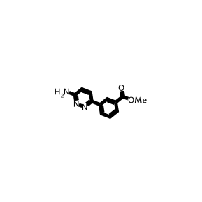 COC(=O)c1cccc(-c2ccc(N)nn2)c1